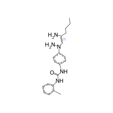 CCCC/C(N)=C/N(N)c1ccc(NC(=O)Nc2ccccc2C)cc1